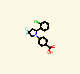 O=C(O)c1ccc(N2CC(F)(F)CC2c2ccccc2Cl)cc1